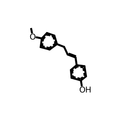 COc1ccc(C/C=C/c2ccc(O)cc2)cc1